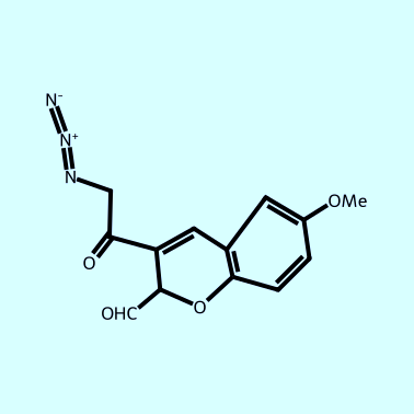 COc1ccc2c(c1)C=C(C(=O)CN=[N+]=[N-])C(C=O)O2